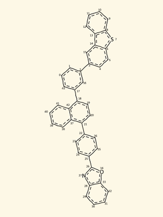 c1cc(-c2ccc3sc4ccccc4c3c2)cc(-c2ccc(-c3ccc(-c4nc5ccccc5o4)cc3)c3ccccc23)c1